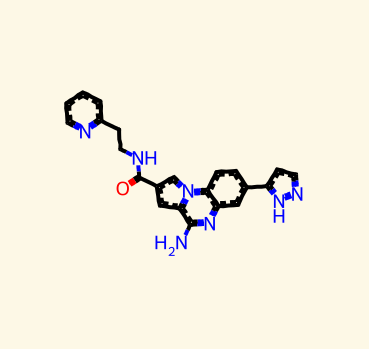 Nc1nc2cc(-c3ccn[nH]3)ccc2n2cc(C(=O)NCCc3ccccn3)cc12